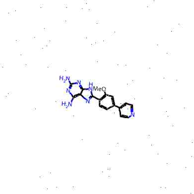 COc1cc(-c2ccncc2)ccc1-c1nc2c(N)nc(N)nc2[nH]1